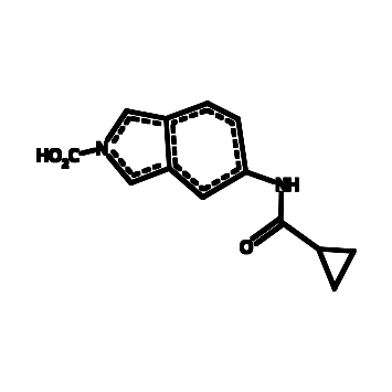 O=C(Nc1ccc2cn(C(=O)O)cc2c1)C1CC1